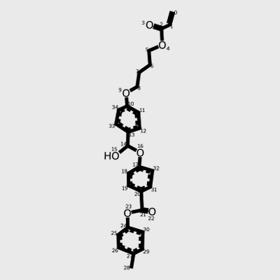 C=CC(=O)OCCCCOc1ccc(C(O)Oc2ccc(C(=O)Oc3ccc(C)cc3)cc2)cc1